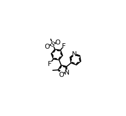 Cc1onc(-c2cccnc2)c1-c1cc(F)c(S(C)(=O)=O)cc1F